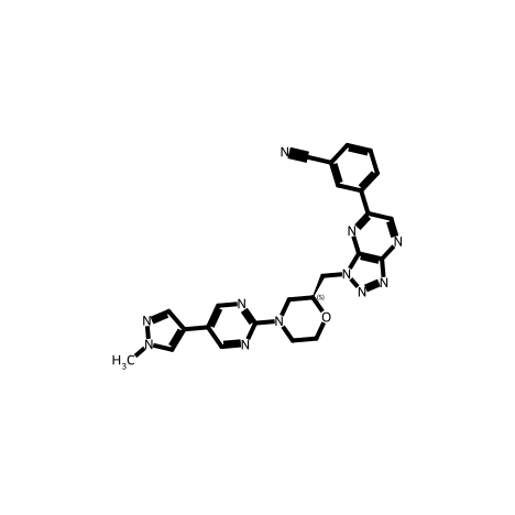 Cn1cc(-c2cnc(N3CCO[C@H](Cn4nnc5ncc(-c6cccc(C#N)c6)nc54)C3)nc2)cn1